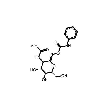 CCCC(=O)N[C@H]1C(=NOC(=O)Nc2ccccc2)O[C@H](CO)[C@@H](O)[C@@H]1O